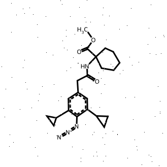 COC(=O)C1(NC(=O)Cc2cc(C3CC3)c(N=[N+]=[N-])c(C3CC3)c2)CCCCC1